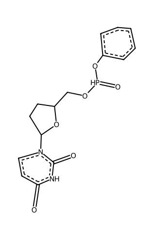 O=c1ccn(C2CCC(CO[PH](=O)Oc3ccccc3)O2)c(=O)[nH]1